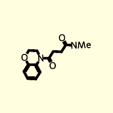 CNC(=O)CCC(=O)N1CCOc2ccccc21